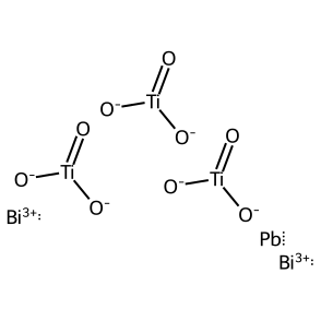 [Bi+3].[Bi+3].[O]=[Ti]([O-])[O-].[O]=[Ti]([O-])[O-].[O]=[Ti]([O-])[O-].[Pb]